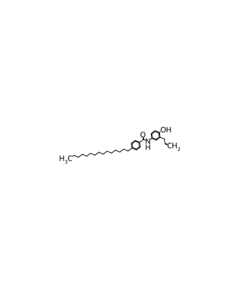 C=CCc1cc(NC(=O)c2ccc(CCCCCCCCCCCCCCC)cc2)ccc1O